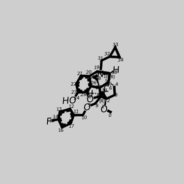 CO[C@]12CC[C@@]3(C[C@@H]1COCc1ccc(F)cc1)[C@H]1Cc4ccc(O)c5c4[C@@]3(CCN1CC1CC1)[C@H]2O5